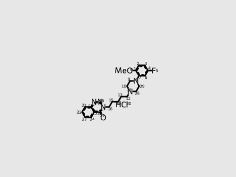 COc1ccc(F)cc1N1CCN(CCCCCn2nnc3ccccc3c2=O)CC1.Cl